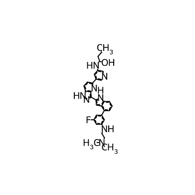 CCCC(O)Nc1cncc(-c2ccc3[nH]nc(-c4cc5c(-c6cc(F)cc(NCCN(C)C)c6)cccc5[nH]4)c3n2)c1